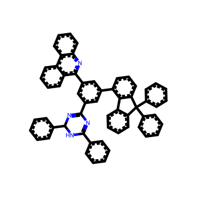 c1ccc(C2=NC(c3cc(-c4cccc5c4-c4ccccc4C5(c4ccccc4)c4ccccc4)cc(-c4nc5ccccc5c5ccccc45)c3)=NC(c3ccccc3)N2)cc1